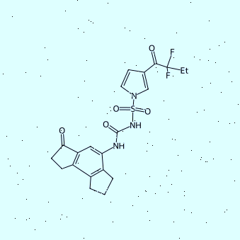 CCC(F)(F)C(=O)c1ccn(S(=O)(=O)NC(=O)Nc2cc3c(c4c2CCC4)CCC3=O)c1